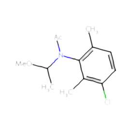 COC(C)N(C(C)=O)c1c(C)ccc(Cl)c1C